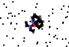 CCN(O)CC.c1ccc2ncccc2c1